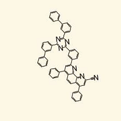 N#Cc1cc(-c2ccccc2)c2ccc3c(-c4ccccc4)cc(-c4cccc(-c5nc(-c6cccc(-c7ccccc7)c6)nc(-c6cccc(-c7ccccc7)c6)n5)c4)nc3c2n1